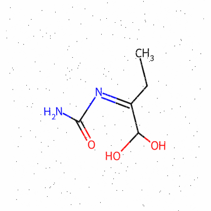 CCC(=NC(N)=O)C(O)O